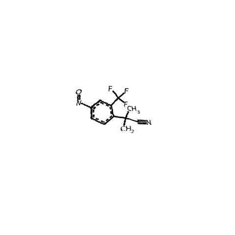 CC(C)(C#N)c1ccc(N=O)cc1C(F)(F)F